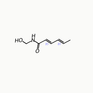 C/C=C/C=C/C(=O)NCO